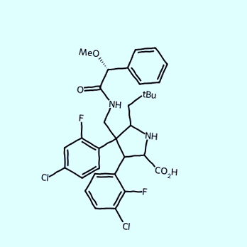 CO[C@@H](C(=O)NCC1(c2ccc(Cl)cc2F)C(CC(C)(C)C)NC(C(=O)O)C1c1cccc(Cl)c1F)c1ccccc1